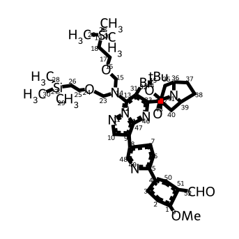 COc1ccc(-c2ccc(-c3cnn4c(N(COCC[Si](C)(C)C)COCC[Si](C)(C)C)c(Br)c(C5CC6CCC(C5)N6C(=O)OC(C)(C)C)nc34)cn2)cc1C=O